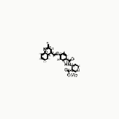 COC(=O)[C@@H]1COCC[C@@H]1NC(=O)c1ccc(OCc2cc(C)nc3ccccc23)cc1